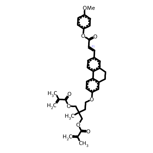 C=C(C)C(=O)OCC(C)(CCOc1ccc2c(c1)CCc1cc(/C=C/C(=O)Oc3ccc(OC)cc3)ccc1-2)COC(=O)C(=C)C